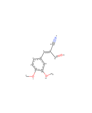 COc1ccc(C=C(C#N)C=O)cc1OC